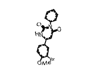 COc1ccc(-c2cc(=O)n(-c3ccccc3)c(=O)[nH]2)cc1Br